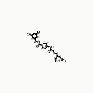 N=N/C(=C\N)CCCC(=O)NC1CCN(C(=O)OCc2cc(Cl)cc(Cl)c2)CC1